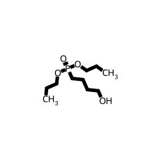 CCCOP(=O)(CCCCO)OCCC